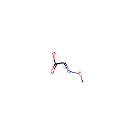 CO/N=C/C([O])=O